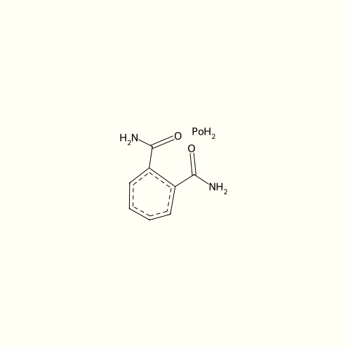 NC(=O)c1ccccc1C(N)=O.[PoH2]